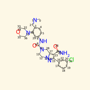 C/N=C\c1ccc(NC(=O)N2CCn3nc(-c4cccc(Cl)c4)c(C(N)=O)c3C2)cc1N1CCOCC1